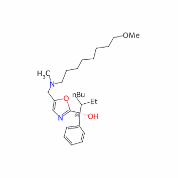 CCCCC(CC)[C@@](O)(c1ccccc1)c1ncc(CN(C)CCCCCCCCOC)o1